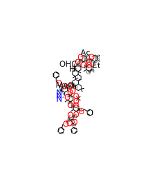 CCC1O[C@@H](OC2[C@H](O[C@H]3CCC4(C)C5CC=C6C7CC(C)(C)CC[C@]7(C(=O)O[C@@H]7O[C@H](COCc8ccccc8)[C@H](N=[N+]=[N-])C(C)C7O[C@@H]7OC(C)[C@H](O[C@@H]8OC[C@@H](OCc9ccccc9)C(O[C@@H]9OC[C@]%10(COCc%11ccccc%11)O[C@@H](c%11ccccc%11)OC9%10)C8C)C8OC(C)(C)OC87)[C@H](OC)CC6(C)C5(C)CC[C@H]4C3(C)C=O)OC(C(C)=O)[C@@H](C)[C@@H]2O[C@@H]2OC[C@@H](C)[C@H](C)C2C)C(C)[C@@H](C)[C@H]1C